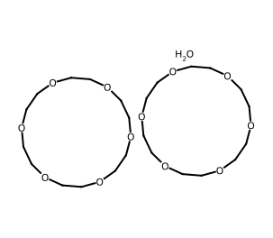 C1COCCOCCOCCOCCOCCO1.C1COCCOCCOCCOCCOCCO1.O